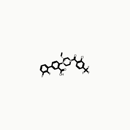 CC[C@@H]1CN(C(=O)c2ccc(C(F)(F)F)cc2Cl)CCN1c1ccc(-c2cccc(F)c2F)cc1C(=O)O